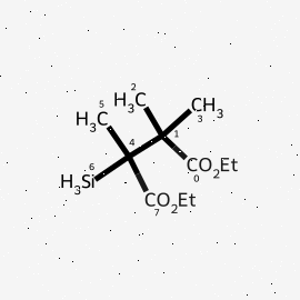 CCOC(=O)C(C)(C)C(C)([SiH3])C(=O)OCC